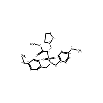 COC(=O)[C@H](C[C@@H]1CCCO1)S(=O)(=O)N(Cc1ccc(OC)cc1)Cc1ccc(OC)cc1